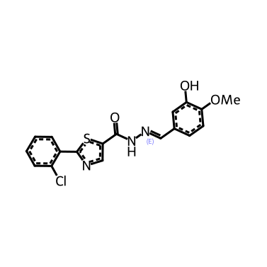 COc1ccc(/C=N/NC(=O)c2cnc(-c3ccccc3Cl)s2)cc1O